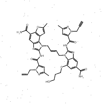 C#CCn1nc(C)cc1C(=O)Nc1nc2cc(C(N)=O)cc(OCCCO)c2n1C/C=C/Cn1c(NC(=O)c2cc(C)nn2CC=C)nc2cc(C(N)=O)c3oc(C)cc3c21